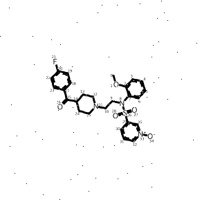 COc1ccccc1N(CCN1CCC(C(=O)c2ccc(F)cc2)CC1)S(=O)(=O)c1ccc[n+]([O-])c1